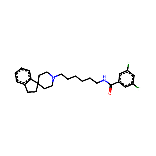 O=C(NCCCCCCN1CCC2(CCc3ccccc32)CC1)c1cc(F)cc(F)c1